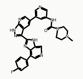 CN1CCN(C(=O)Nc2cncc(-c3cnc4[nH]nc(-c5nc6c(-c7ccc(F)cc7)cncc6[nH]5)c4c3)c2)CC1